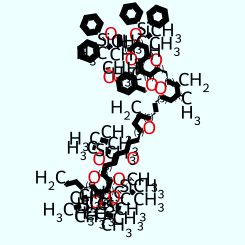 C=CCC[C@@H]1O[C@@H]([C@H](C=CC(=O)CC[C@H]2CC(=C)[C@H](CC[C@H]3C[C@@H](C)C(=C)[C@@H](C[C@@H]4O[C@H]5C[C@@H](O[Si](c6ccccc6)(c6ccccc6)C(C)(C)C)[C@@H](CCO[Si](c6ccccc6)(c6ccccc6)C(C)(C)C)O[C@H]5[C@H](C)[C@H]4OCc4ccc(OC)cc4)O3)O2)O[Si](C)(C)C(C)(C)C)[C@@H](O[Si](C)(C)C(C)(C)C)[C@@H](O[Si](C)(C)C(C)(C)C)[C@H]1O[Si](C)(C)C(C)(C)C